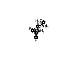 Cc1cccc(C)c1NC(C)c1cccc(C(C)N(C)c2c(F)cc(-c3ccc(F)cc3)cc2-c2ccc(F)cc2)n1